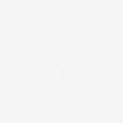 O=C1NCN(c2ccc(Oc3ccccc3)c(CO)c2)C(=O)N1c1ccccc1